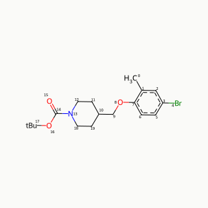 Cc1cc(Br)ccc1OCC1CCN(C(=O)OC(C)(C)C)CC1